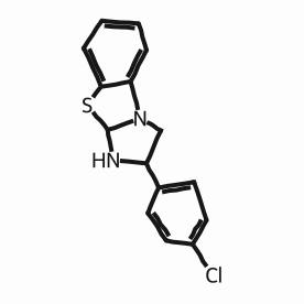 Clc1ccc(C2CN3c4ccccc4SC3N2)cc1